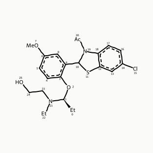 CC[C@H](Oc1ccc(OC)cc1C1Sc2cc(Cl)ccc2N1C(C)=O)N(CC)CCO